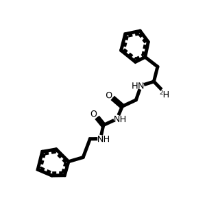 [2H]C(Cc1ccccc1)NCC(=O)NC(=O)NCCc1ccccc1